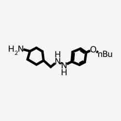 CCCCOc1ccc(NNCC2CCC(N)CC2)cc1